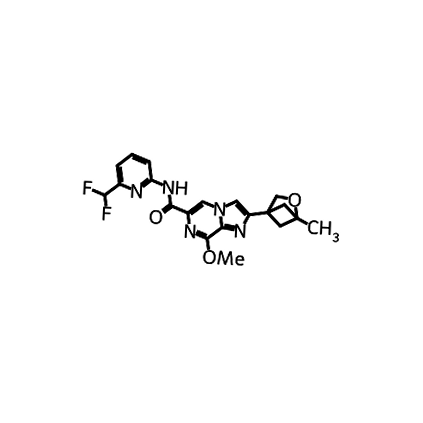 COc1nc(C(=O)Nc2cccc(C(F)F)n2)cn2cc(C34COC(C)(C3)C4)nc12